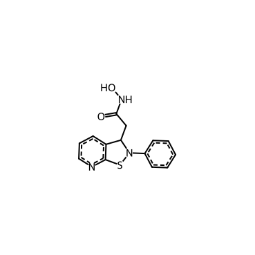 O=C(CC1c2cccnc2SN1c1ccccc1)NO